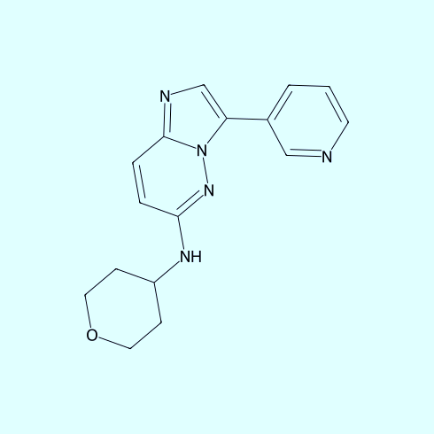 c1cncc(-c2cnc3ccc(NC4CCOCC4)nn23)c1